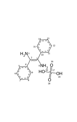 NC(=C(N)c1ccccc1)c1ccccc1.O=S(=O)(O)O